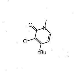 Cn1ccc(C(C)(C)C)c(Cl)c1=O